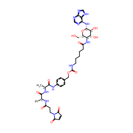 CC(C)[C@H](NC(=O)CCN1C(=O)C=CC1=O)C(=O)N[C@@H](C)C(=O)Nc1ccc(COC(=O)NCCCCCC(=O)N[C@@H]2[C@@H](O)[C@H](O)[C@@H](Nc3ncnc4nc[nH]c34)O[C@H]2CO)cc1